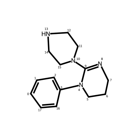 c1ccc(N2CCCN=C2N2CCNCC2)cc1